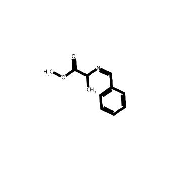 COC(=O)C(C)/N=C\c1ccccc1